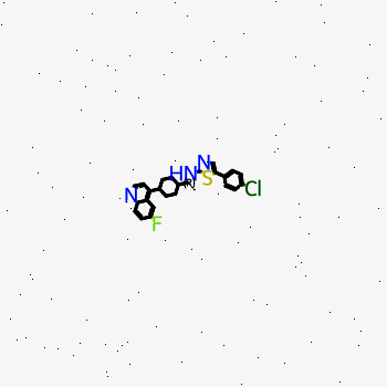 C[C@@H](Nc1ncc(-c2ccc(Cl)cc2)s1)C1CCC(c2ccnc3ccc(F)cc23)CC1